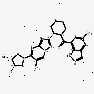 Cc1cc(C(=O)N2CCCC[C@H]2c2cc3nc(N4C[C@@H](C#N)[C@@H](O)C4)c(C)cn3n2)c2[nH]ncc2c1